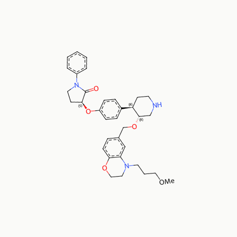 COCCCN1CCOc2ccc(CO[C@H]3CNCC[C@@H]3c3ccc(O[C@H]4CCN(c5ccccc5)C4=O)cc3)cc21